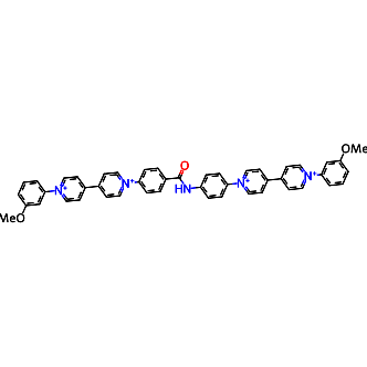 COc1cccc(-[n+]2ccc(-c3cc[n+](-c4ccc(NC(=O)c5ccc(-[n+]6ccc(-c7cc[n+](-c8cccc(OC)c8)cc7)cc6)cc5)cc4)cc3)cc2)c1